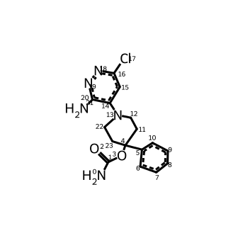 NC(=O)OC1(c2ccccc2)CCN(c2cc(Cl)nnc2N)CC1